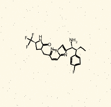 CC[C@@H](c1ccc(F)cc1)[C@H](N)c1cn2nc(C[C@H]3C[C@@H](C(F)(F)F)NC3=O)ccc2n1